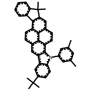 Cc1cc(C)cc(-n2c3ccc(C(C)(C)C)cc3c3cc4ccc5c6c(cc7ccc(c4c75)c32)C(C)(C)c2ccccc2-6)c1